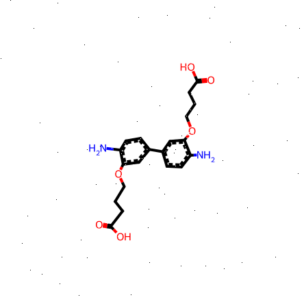 Nc1ccc(-c2ccc(N)c(OCCCC(=O)O)c2)cc1OCCCC(=O)O